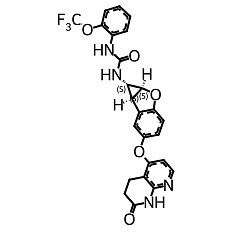 O=C1CCc2c(Oc3ccc4c(c3)[C@H]3[C@H](NC(=O)Nc5ccccc5OC(F)(F)F)[C@H]3O4)ccnc2N1